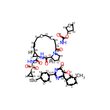 Cc1cccc2c1oc1c(O[C@@H]3C[C@H]4C(=O)N[C@]5(C(=O)NS(=O)(=O)C6CC6)C[C@H]5/C=C\CCCCC[C@H](NC(=O)OC5CCCC5)C(=O)N4C3)nc(-c3ccc(C(C)(C)C)cc3)nc12